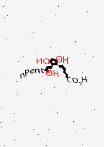 CCCCC[C@H](O)/C=C/[C@@H]1[C@@H](C/C=C\CCCC(=O)O)[C@@H](O)C[C@@H]1O